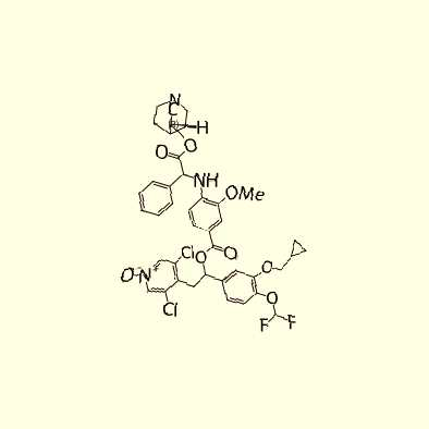 COc1cc(C(=O)OC(Cc2c(Cl)c[n+]([O-])cc2Cl)c2ccc(OC(F)F)c(OCC3CC3)c2)ccc1NC(C(=O)O[C@H]1CN2CCC1CC2)c1ccccc1